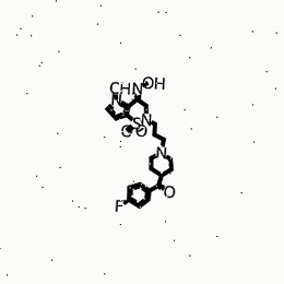 Cn1ccc2c1C(=NO)CN(CCCN1CCC(C(=O)c3ccc(F)cc3)CC1)S2(=O)=O